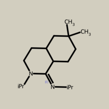 CC(C)/N=C1\C2CCC(C)(C)CC2CCN1C(C)C